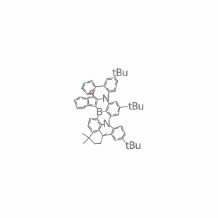 CC(C)(C)c1ccc(N2c3cc(C(C)(C)C)cc4c3B(c3ccc5c6c3N4c3ccc(C(C)(C)C)cc3C6(C)CCC5(C)C)c3c2sc2ccccc32)c(-c2ccccc2)c1